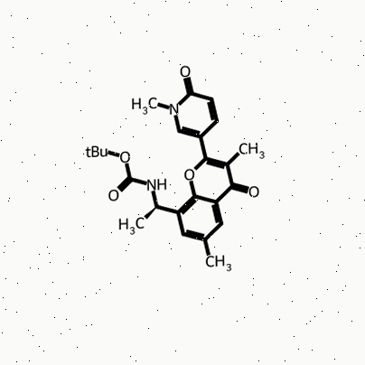 Cc1cc([C@@H](C)NC(=O)OC(C)(C)C)c2oc(-c3ccc(=O)n(C)c3)c(C)c(=O)c2c1